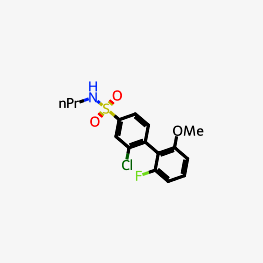 CCCNS(=O)(=O)c1ccc(-c2c(F)cccc2OC)c(Cl)c1